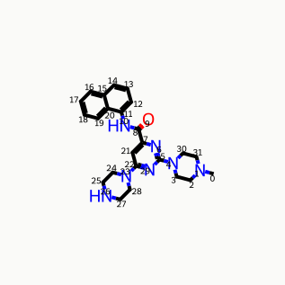 CN1CCN(c2nc(C(=O)Nc3cccc4ccccc34)cc(N3CCNCC3)n2)CC1